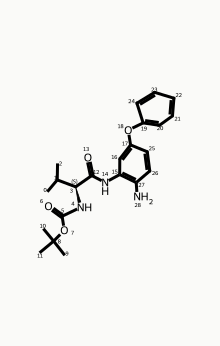 CC(C)[C@H](NC(=O)OC(C)(C)C)C(=O)Nc1cc(Oc2ccccc2)ccc1N